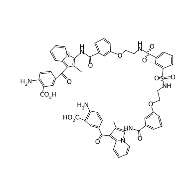 Cc1c(C(=O)c2ccc(N)c(C(=O)O)c2)c2ccccn2c1NC(=O)c1cccc(OCCNS(=O)(=O)c2cccc(S(=O)(=O)NCCOc3cccc(C(=O)Nc4c(C)c(C(=O)c5ccc(N)c(C(=O)O)c5)c5ccccn45)c3)c2)c1